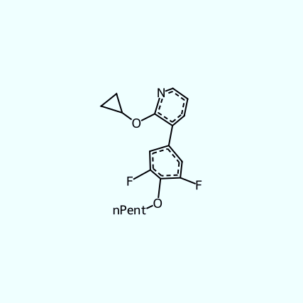 CCCCCOc1c(F)cc(-c2cccnc2OC2CC2)cc1F